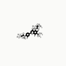 CN(C)c1c(F)c(NC(=O)C(C)(C)C)c2c(=O)cc(-c3ccc(NC(=O)C(C)(C)C)c(F)c3)oc2c1F